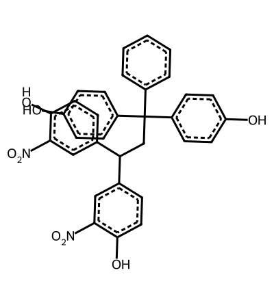 O=[N+]([O-])c1cc(C(CC(c2ccccc2)(c2ccc(O)cc2)c2ccc(O)cc2)c2ccc(O)c([N+](=O)[O-])c2)ccc1O